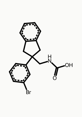 O=C(O)NCC1(c2cccc(Br)c2)Cc2ccccc2C1